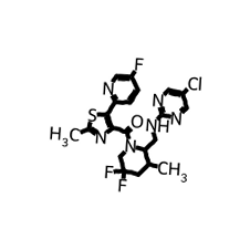 Cc1nc(C(=O)N2CC(F)(F)CC(C)C2CNc2ncc(Cl)cn2)c(-c2ccc(F)cn2)s1